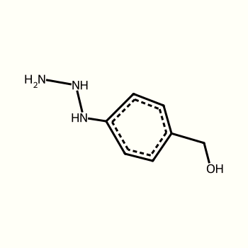 NNNc1ccc(CO)cc1